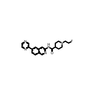 O=C(Nc1cc2cc(-c3cnccn3)ccc2cn1)C1CCN(CCF)CC1